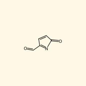 O=CC1=NC(=O)C=C1